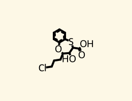 O=C(O)C1Sc2ccccc2OC(CCCCl)C1O